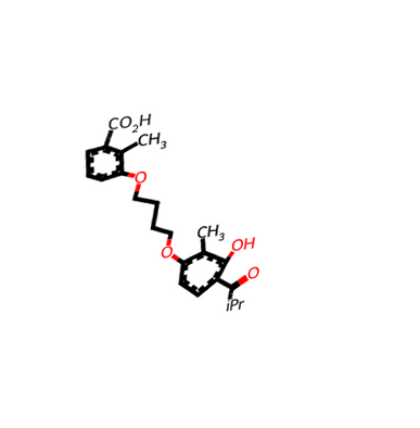 Cc1c(OCCCCOc2ccc(C(=O)C(C)C)c(O)c2C)cccc1C(=O)O